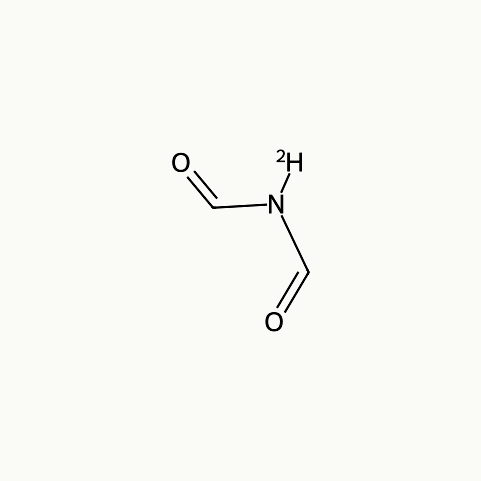 [2H]N(C=O)C=O